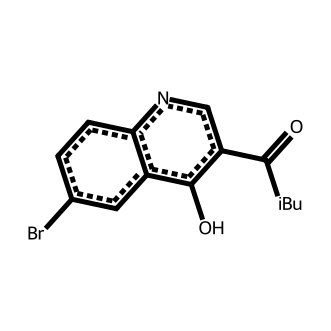 CCC(C)C(=O)c1cnc2ccc(Br)cc2c1O